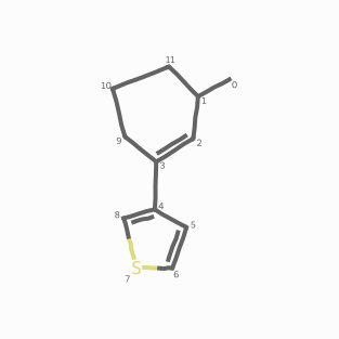 CC1C=C(c2ccsc2)CCC1